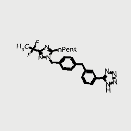 CCCCCc1nc(C(C)(F)F)nn1Cc1ccc(Cc2cccc(-c3nnn[nH]3)c2)cc1